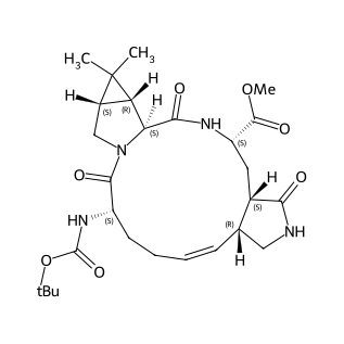 COC(=O)[C@@H]1C[C@@H]2C(=O)NC[C@@H]2C=CCC[C@H](NC(=O)OC(C)(C)C)C(=O)N2C[C@H]3[C@@H]([C@H]2C(=O)N1)C3(C)C